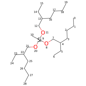 CCCCC(CC)CO[Si](C)(OCC(CC)CCCC)OCC(CC)CCCC